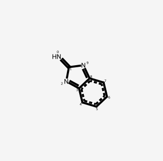 N=C1N=c2ccccc2=N1